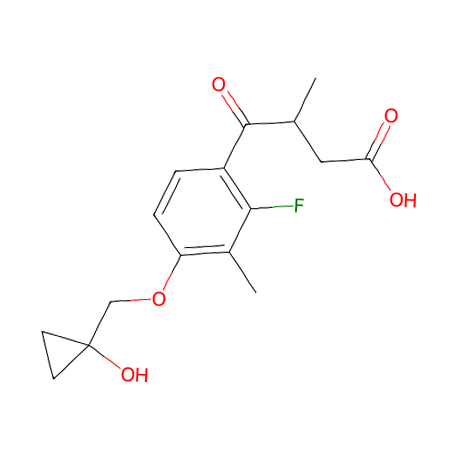 Cc1c(OCC2(O)CC2)ccc(C(=O)C(C)CC(=O)O)c1F